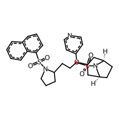 O=S(=O)(CCCC1CCCN1S(=O)(=O)c1cccc2ccccc12)N1[C@@H]2CC[C@H]1CC(Oc1ccncc1)C2